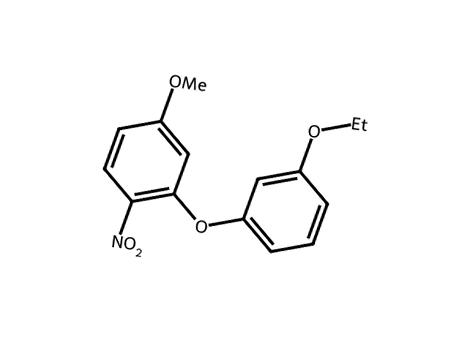 CCOc1cccc(Oc2cc(OC)ccc2[N+](=O)[O-])c1